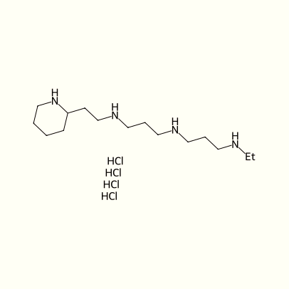 CCNCCCNCCCNCCC1CCCCN1.Cl.Cl.Cl.Cl